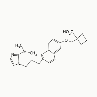 CN(C)c1nccn1CCCc1ccc2cc(OCC3(C(=O)O)CCC3)ccc2c1